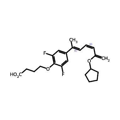 C=C(/C=C\C=C(/C)c1cc(F)c(OCCCC(=O)O)c(F)c1)OC1CCCC1